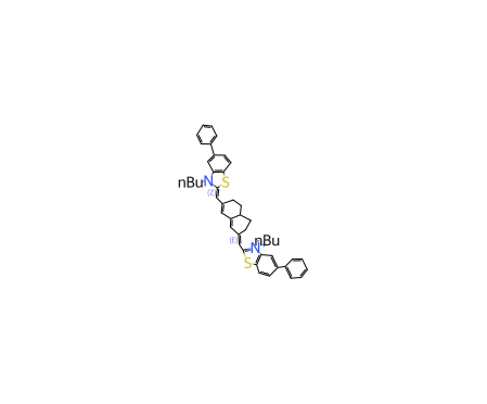 CCCCN1/C(=C/C2=CC3=C/C(=C/c4sc5ccc(-c6ccccc6)cc5[n+]4CCCC)CCC3CC2)Sc2ccc(-c3ccccc3)cc21